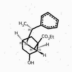 CCOC(=O)[C@H]1[C@@H]2CC[C@H](CC2O)N1[C@H](C)c1ccccc1